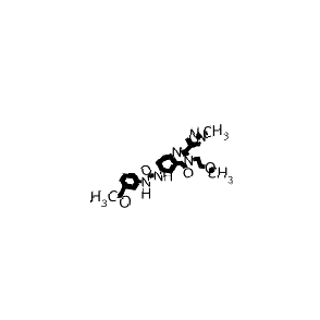 COCCn1c(-c2cnn(C)c2)nc2ccc(NC(=O)Nc3cccc(C(C)=O)c3)cc2c1=O